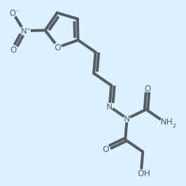 NC(=O)N(N=CC=Cc1ccc([N+](=O)[O-])o1)C(=O)CO